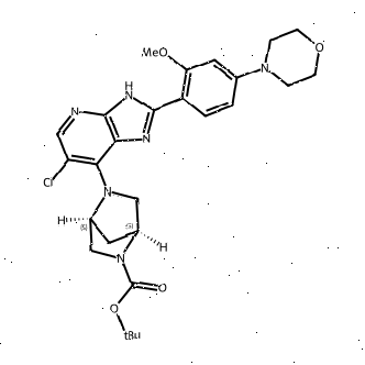 COc1cc(N2CCOCC2)ccc1-c1nc2c(N3C[C@@H]4C[C@H]3CN4C(=O)OC(C)(C)C)c(Cl)cnc2[nH]1